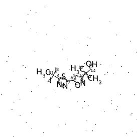 CC(I)(I)c1nnc(-c2cc(C(C)(C)CO)no2)s1